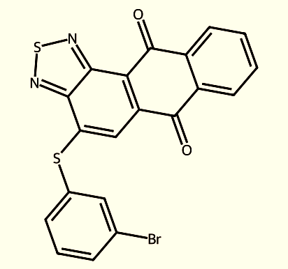 O=C1c2ccccc2C(=O)c2c1cc(Sc1cccc(Br)c1)c1nsnc21